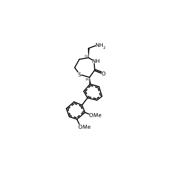 COc1cccc(-c2cccc([C@H]3SCC[C@@H](CN)NC3=O)c2)c1OC